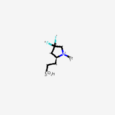 CCN1CC(F)(F)C[C@@H]1CCC(=O)O